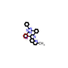 Cc1ccc2ccc3c(-c4ccccn4)cc(-c4ccccc4-c4nc(-c5ccccc5)nc(-c5ccccc5)n4)nc3c2n1